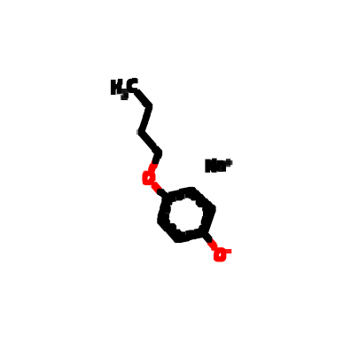 CCCCOc1ccc([O-])cc1.[Na+]